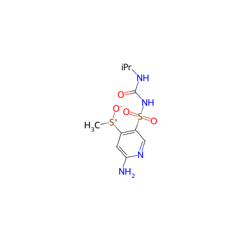 CC(C)NC(=O)NS(=O)(=O)c1cnc(N)cc1[S+](C)[O-]